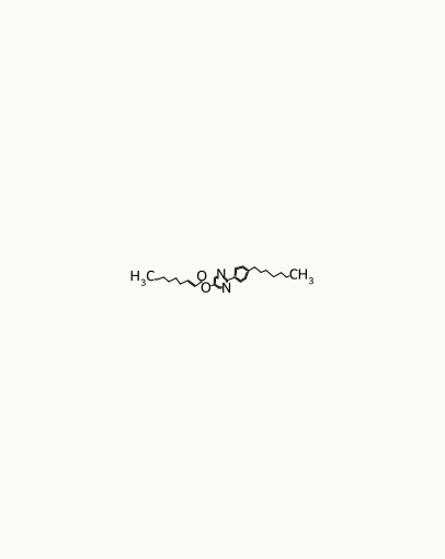 CCCCCCC=CC(=O)Oc1cnc(-c2ccc(CCCCCCC)cc2)nc1